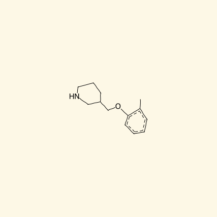 Cc1ccccc1OCC1CCCNC1